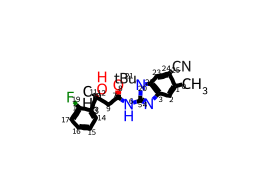 Cc1cc2nc(NC(=O)C[C@](C)(O)c3ccccc3F)n(C(C)(C)C)c2cc1C#N